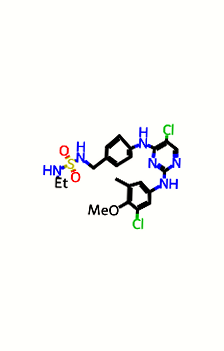 CCNS(=O)(=O)NCc1ccc(Nc2nc(Nc3cc(C)c(OC)c(Cl)c3)ncc2Cl)cc1